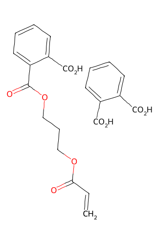 C=CC(=O)OCCCOC(=O)c1ccccc1C(=O)O.O=C(O)c1ccccc1C(=O)O